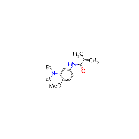 C=C(C)C(=O)Nc1ccc(OC)c(N(CC)CC)c1